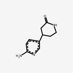 Nc1ccc(C2CCNC(=O)C2)cn1